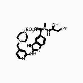 CC(C)CC(=N)NN(C)C(=O)c1ccc2nc(Nc3cc(CN4CCN(C(=O)O)CC4)ccn3)[nH]c2c1